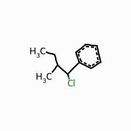 CCC(C)C(Cl)c1ccccc1